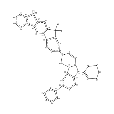 CC1(C)c2cc(C3C=CC4C(C3)c3cc(-c5ccccc5)ccc3N4C3=CCCCC3)ccc2-c2cc3c(cc21)[nH]c1ccccc13